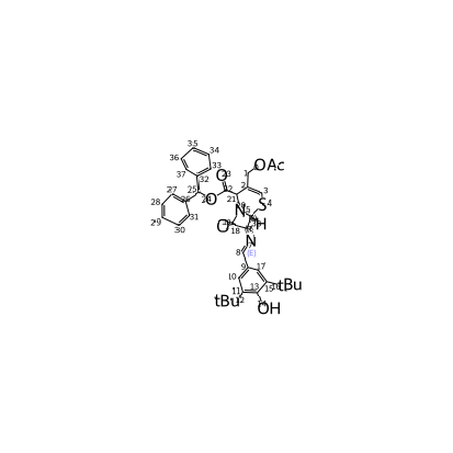 CC(=O)OCC1=CS[C@@H]2[C@H](/N=C/c3cc(C(C)(C)C)c(O)c(C(C)(C)C)c3)C(=O)N2C1C(=O)OC(c1ccccc1)c1ccccc1